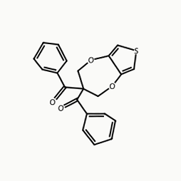 O=C(c1ccccc1)C1(C(=O)c2ccccc2)COc2cscc2OC1